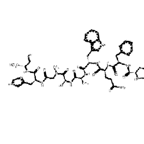 CC(C)C[C@H](NC(=O)[C@H](Cc1c[nH]cn1)NC(=O)CN(C)C(=O)[C@@H](NC(=O)[C@H](C)NC(=O)[C@H](Cc1c[nH]c2ccccc12)NC(=O)[C@H](CCC(N)=O)NC(=O)[C@@H](Cc1ccccc1)NC(=O)[C@@H]1CCCCN1)C(C)(C)C)C(=O)O